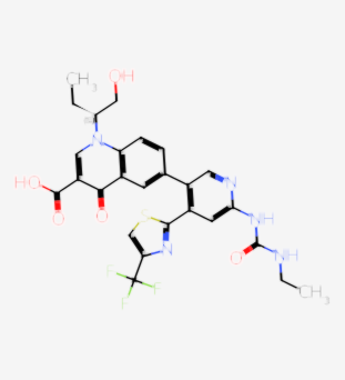 CCNC(=O)Nc1cc(-c2nc(C(F)(F)F)cs2)c(-c2ccc3c(c2)c(=O)c(C(=O)O)cn3[C@@H](CC)CO)cn1